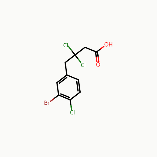 O=C(O)CC(Cl)(Cl)Cc1ccc(Cl)c(Br)c1